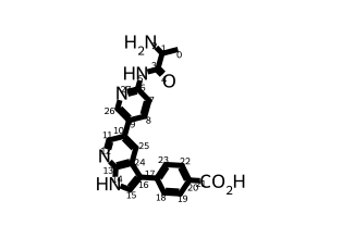 CC(N)C(=O)Nc1ccc(-c2cnc3[nH]cc(-c4ccc(C(=O)O)cc4)c3c2)cn1